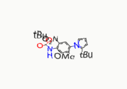 COc1cc(NC(=O)OC(C)(C)C)c([N+](=O)[O-])cc1-n1cccc1C(C)(C)C